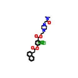 CN(C)C(=O)CN1CCN(CCOC(=O)c2ccc(OC(=O)Cc3cccc4ccccc34)cc2)CC1.Cl.Cl